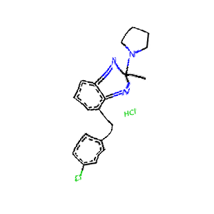 CC1(N2CCCC2)N=c2cccc(Cc3ccc(Cl)cc3)c2=N1.Cl